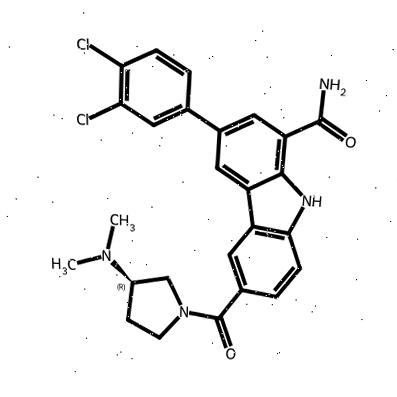 CN(C)[C@@H]1CCN(C(=O)c2ccc3[nH]c4c(C(N)=O)cc(-c5ccc(Cl)c(Cl)c5)cc4c3c2)C1